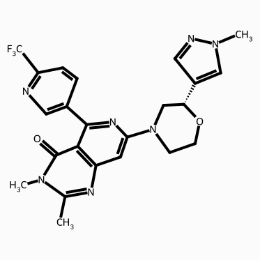 Cc1nc2cc(N3CCO[C@@H](c4cnn(C)c4)C3)nc(-c3ccc(C(F)(F)F)nc3)c2c(=O)n1C